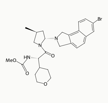 COC(=O)N[C@H](C(=O)N1C[C@@H](C)C[C@@H]1N1Cc2ccc3cc(Br)ccc3c2C1)C1CCOCC1